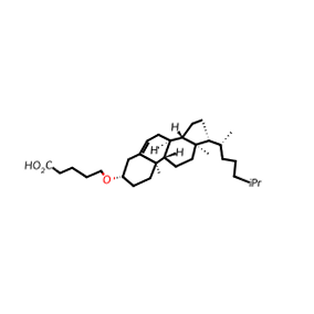 CC(C)CCC[C@@H](C)[C@H]1CC[C@H]2[C@@H]3CC=C4C[C@@H](OCCCCC(=O)O)CC[C@]4(C)[C@H]3CC[C@]12C